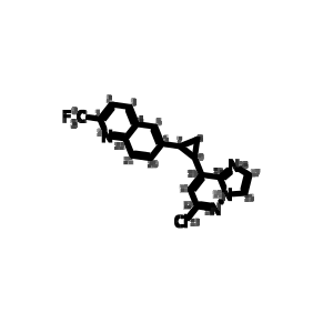 FC(F)(F)c1ccc2cc(C3CC3c3cc(Cl)nn4ccnc34)ccc2n1